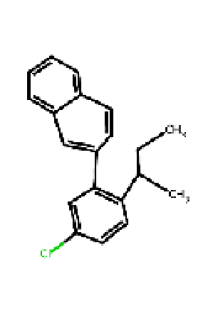 CCC(C)c1ccc(Cl)cc1-c1ccc2ccccc2c1